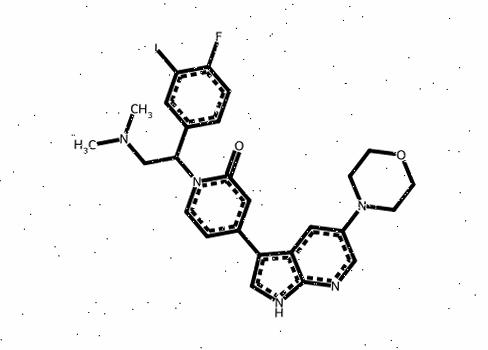 CN(C)CC(c1ccc(F)c(I)c1)n1ccc(-c2c[nH]c3ncc(N4CCOCC4)cc23)cc1=O